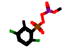 CO[PH](=O)OOS(=O)(=O)c1c(F)ccc(F)c1C